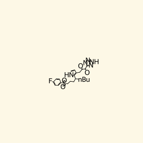 CCCCC(CCCS(=O)(=O)c1ccc(F)cc1)c1[nH]ccc1CC(=O)C(=O)c1nn[nH]n1